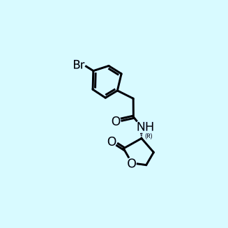 O=C(Cc1ccc(Br)cc1)N[C@@H]1CCOC1=O